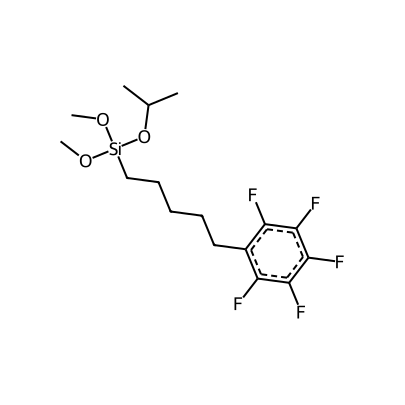 CO[Si](CCCCCc1c(F)c(F)c(F)c(F)c1F)(OC)OC(C)C